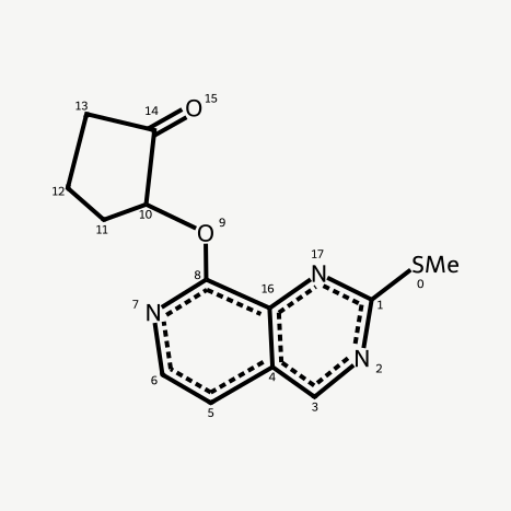 CSc1ncc2ccnc(OC3CCCC3=O)c2n1